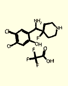 NC(c1cc(Cl)c(Cl)cc1O)C1(F)CCNCC1.O=C(O)C(F)(F)F